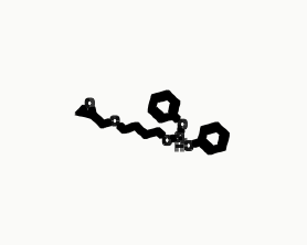 c1ccc(O[SiH](OCCCCOCC2CO2)Oc2ccccc2)cc1